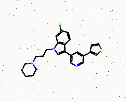 Clc1ccc2c(-c3cncc(-c4ccsc4)c3)cn(CCCN3CCCCC3)c2c1